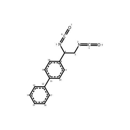 O=C=NCC(N=C=O)c1ccc(-c2ccccc2)cc1